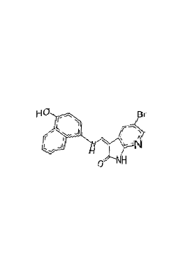 O=C1Nc2ncc(Br)cc2C1=CNc1ccc(O)c2ccccc12